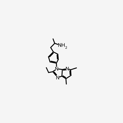 CCc1nc2c(C)cc(C)nc2n1-c1ccc(CC(C)N)cc1